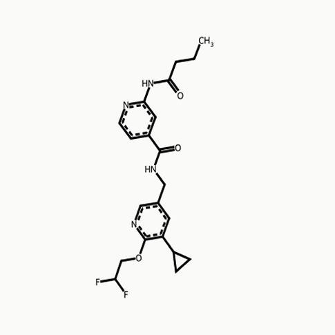 CCCC(=O)Nc1cc(C(=O)NCc2cnc(OCC(F)F)c(C3CC3)c2)ccn1